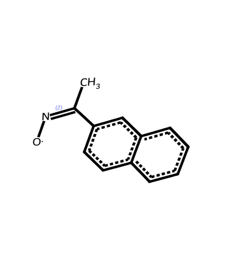 C/C(=N/[O])c1ccc2ccccc2c1